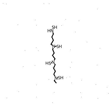 CCN(S)CCCCN(S)CCCCN(S)CCCCNS